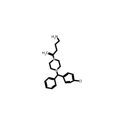 C=C(CCCN)N1CCN(C(c2ccccc2)c2ccc(Cl)cc2)CC1